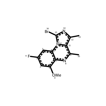 COc1cc(F)cc2c1nc(C)c1c(C)nc(Br)n12